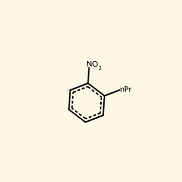 CCCc1ccc[c]c1[N+](=O)[O-]